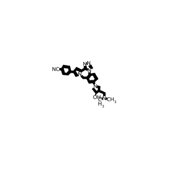 CN(C)CC1CN(c2ccc3c(c2)Cn2cc(-c4ccc(C#N)cc4)cc2-c2nncn2-3)C[C@@H]1O